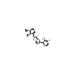 Brc1cccc([SiH2]CCC[SiH2]c2cccc(Br)c2Br)c1Br